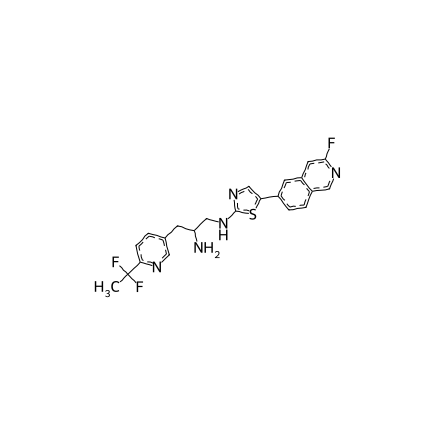 CC(F)(F)c1ccc(CC(N)CNc2ncc(-c3ccc4cnc(F)cc4c3)s2)cn1